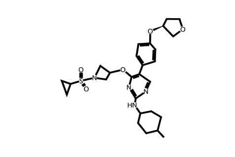 CC1CCC(Nc2ncc(-c3ccc(O[C@H]4CCOC4)cc3)c(OC3CN(S(=O)(=O)C4CC4)C3)n2)CC1